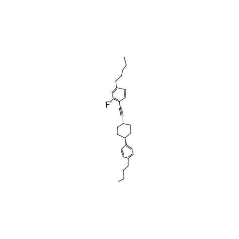 CCCCCc1ccc(C#C[C@H]2CC[C@H](c3ccc(CCCC)cc3)CC2)c(F)c1